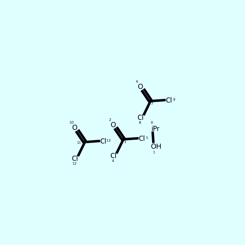 CC(C)O.O=C(Cl)Cl.O=C(Cl)Cl.O=C(Cl)Cl